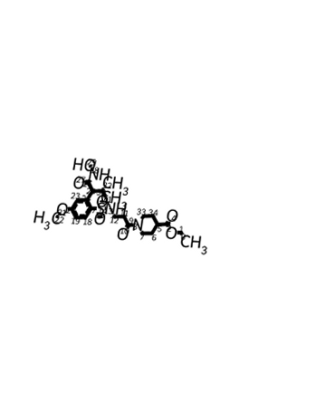 CCOC(=O)C1CCN(C(=O)CCNS(=O)(=O)c2ccc(OC)cc2C(C(=O)NO)C(C)C)CC1